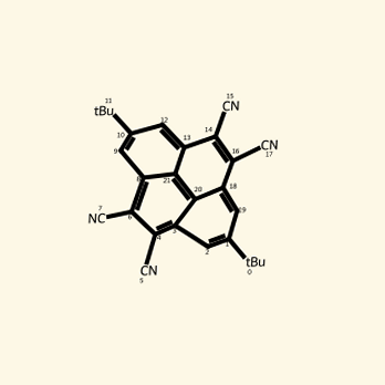 CC(C)(C)c1cc2c(C#N)c(C#N)c3cc(C(C)(C)C)cc4c(C#N)c(C#N)c(c1)c2c34